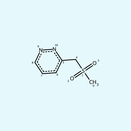 CS(=O)(=O)Cc1cccnn1